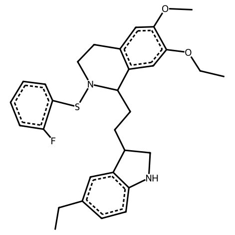 CCOc1cc2c(cc1OC)CCN(Sc1ccccc1F)C2CCC1CNc2ccc(CC)cc21